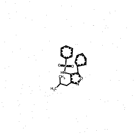 CC(C)Cc1noc(-c2ccccc2)c1NS(=O)(=O)c1ccccc1